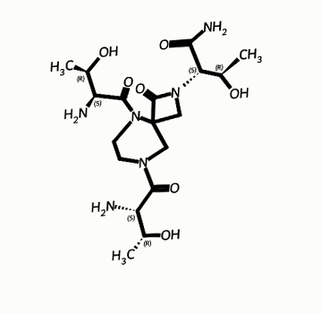 C[C@@H](O)[C@H](N)C(=O)N1CCN(C(=O)[C@@H](N)[C@@H](C)O)C2(C1)CN([C@H](C(N)=O)[C@@H](C)O)C2=O